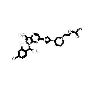 Cc1nn(C(C)c2ccc(Cl)cc2Cl)c2nc(N3CC([C@H]4CCCN(CCNC(=O)C(C)C)C4)C3)cnc12